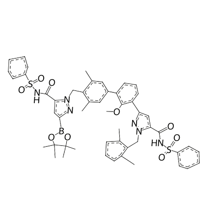 COc1c(-c2cc(C)c(Cn3nc(B4OC(C)(C)C(C)(C)O4)cc3C(=O)NS(=O)(=O)c3ccccc3)c(C)c2)cccc1-c1cc(C(=O)NS(=O)(=O)c2ccccc2)n(Cc2c(C)cccc2C)n1